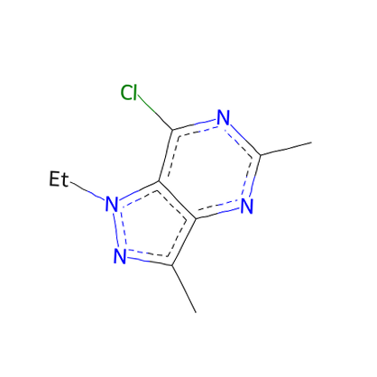 CCn1nc(C)c2nc(C)nc(Cl)c21